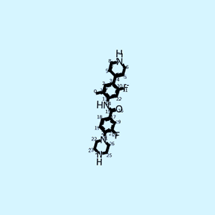 Cc1cc(C2=CCNCC2)c(F)cc1NC(=O)c1ccc(N2CCNCC2)c(F)c1